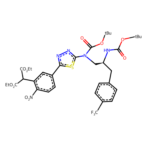 CCOC(=O)C(C(=O)OCC)c1cc(-c2nnc(N(C[C@H](Cc3ccc(C(F)(F)F)cc3)NC(=O)OC(C)(C)C)C(=O)OC(C)(C)C)s2)ccc1[N+](=O)[O-]